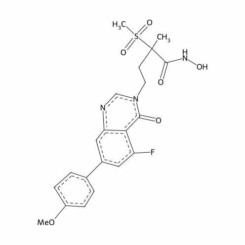 COc1ccc(-c2cc(F)c3c(=O)n(CCC(C)(C(=O)NO)S(C)(=O)=O)cnc3c2)cc1